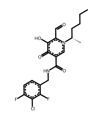 CCCC[C@H](C)n1cc(C(=O)NCc2ccc(F)c(Cl)c2F)c(=O)c(O)c1C=O